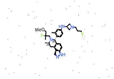 COCC(C)(F)CN1[C@H](c2ccc(NC3CN(CCCF)C3)cc2C)c2ccc3[nH]ncc3c2C[C@H]1C